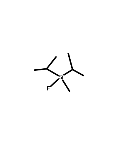 CC(C)[Si](C)(F)C(C)C